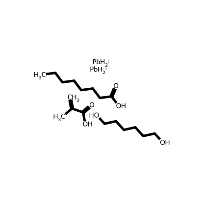 C=C(C)C(=O)O.CCCCCCCC(=O)O.OCCCCCCO.[PbH2].[PbH2]